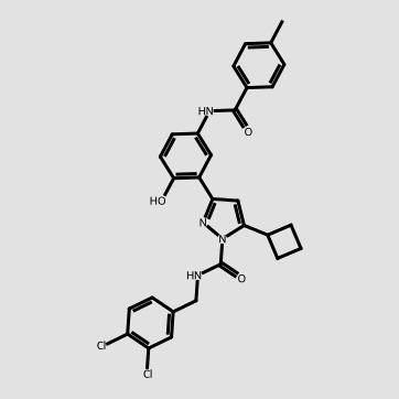 Cc1ccc(C(=O)Nc2ccc(O)c(-c3cc(C4CCC4)n(C(=O)NCc4ccc(Cl)c(Cl)c4)n3)c2)cc1